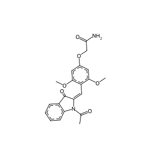 COc1cc(OCC(N)=O)cc(OC)c1C=C1C(=O)c2ccccc2N1C(C)=O